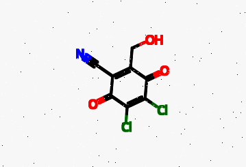 N#CC1=C(CO)C(=O)C(Cl)=C(Cl)C1=O